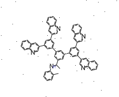 C/C(=N\c1ccccc1C)c1cc(-c2cc(-c3cnc4ccccc4c3)cc(-c3cnc4ccccc4c3)c2)cc(-c2cc(-c3cnc4ccccc4c3)cc(-c3cnc4ccccc4c3)c2)c1